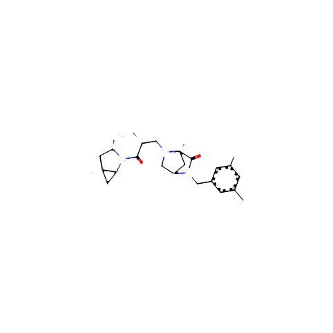 Cc1cc([C@H](C)N2C(=O)[C@@H]3CC2CN3C[C@H](C)C(=O)N2C3C[C@H]3C[C@H]2C#N)cc(C(F)(F)F)c1